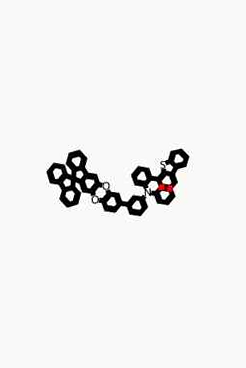 C1=CC2C3=C(CCC=C3)C3(c4ccccc4-c4cc5c(cc43)Oc3ccc(-c4cccc(N(c6ccccc6)c6ccccc6-c6cccc7c6sc6ccccc67)c4)cc3O5)C2C=C1